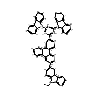 CCn1c2ccccc2c2cc(-c3ccc4c5ccc(-c6nc(-n7c8ccccc8c8ccccc87)nc(-n7c8ccccc8c8ccccc87)n6)cc5c5ccccc5c4c3)ccc21